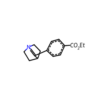 CCOC(=O)c1ccc(C2=CN3CCC2CC3)cc1